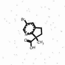 CC1(C(=O)O)CCc2cc(Br)cnc21